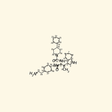 C[C@H](c1c[nH]c2ccccc12)[C@@H](NC(=O)N1CCC(c2ccccc2)CC1)C(=O)Nc1ccc(CCN)cc1